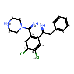 N=C(Cc1ccccc1)C1=C(C(=N)N2CCNCC2)CC(Cl)C(Cl)=C1